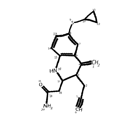 C#CCC1C(=C)c2cc(SC3CC3)ccc2NC1CC(N)=O